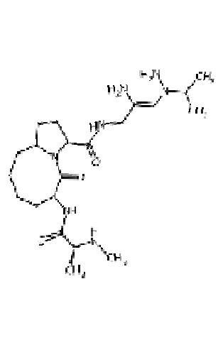 CN[C@@H](C)C(=O)NC1CCCCC2CCC(C(=O)NC/C(N)=C/N(N)C(C)C)N2C1=O